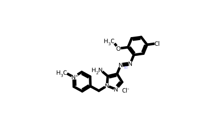 COc1ccc(Cl)cc1/N=N/c1cnn(Cc2cc[n+](C)cc2)c1N.[Cl-]